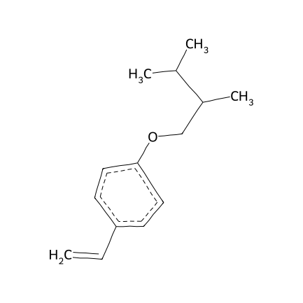 C=Cc1ccc(OCC(C)C(C)C)cc1